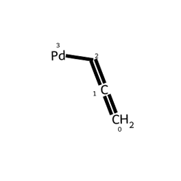 C=C=[CH][Pd]